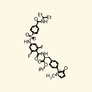 CCC(CC)NC(=O)c1ccc(S(=O)(=O)Nc2cc(F)c(C(=O)N[C@@H](Cc3ccc(-n4c(=O)ccn4C)cc3)C(=O)OC(C)C)c(F)c2)cc1